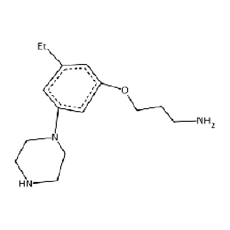 CCc1cc(OCCCN)cc(N2CCNCC2)c1